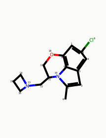 Cc1cc2cc(Cl)cc3c2n1C(CN1CCC1)CO3